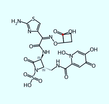 Nc1nc(C(=NOC2(C(=O)O)CCC2)C(=O)N[C@@H]2C(=O)N(S(=O)(=O)O)[C@H]2CNC(=O)c2cc(=O)c(O)cn2O)cs1